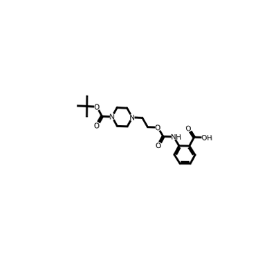 CC(C)(C)OC(=O)N1CCN(CCOC(=O)Nc2ccccc2C(=O)O)CC1